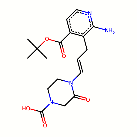 CC(C)(C)OC(=O)c1ccnc(N)c1CC=CN1CCN(C(=O)O)CC1=O